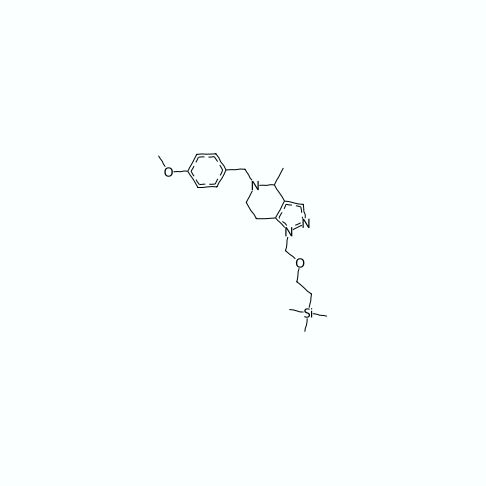 COc1ccc(CN2CCc3c(cnn3COCC[Si](C)(C)C)C2C)cc1